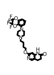 O=C1CCc2cnc(OCCCCN3CCN(c4cccc5c4OC(F)(F)C(F)(F)O5)CC3)cc2N1